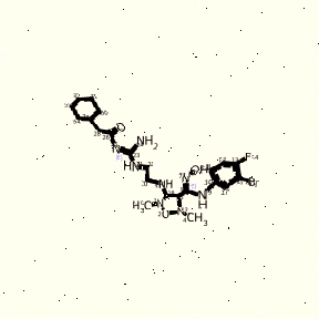 CN1ON(C)C(/C(=N/O)Nc2ccc(F)c(Br)c2)C1NCCN/C(N)=N/C(=O)CC1CCCCC1